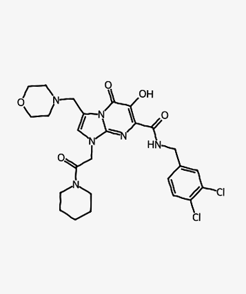 O=C(NCc1ccc(Cl)c(Cl)c1)c1nc2n(CC(=O)N3CCCCC3)cc(CN3CCOCC3)n2c(=O)c1O